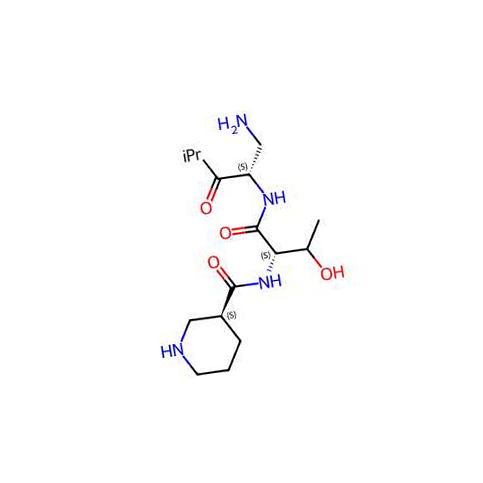 CC(C)C(=O)[C@H](CN)NC(=O)[C@@H](NC(=O)[C@H]1CCCNC1)C(C)O